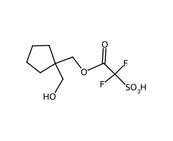 O=C(OCC1(CO)CCCC1)C(F)(F)S(=O)(=O)O